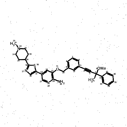 COC(C)(C#Cc1cccc(COc2cc(-c3cnc(C4CCN(C)CC4)s3)cnc2N)c1)c1ccccc1